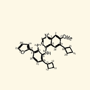 COc1cc2ncnc(Nc3c(C4CCC4)ccc(-c4ccco4)c3F)c2cc1C1CCC1